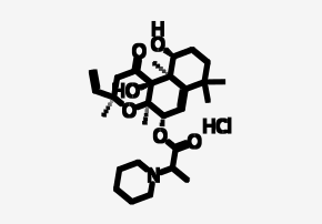 C=C[C@@]1(C)CC(=O)[C@@]2(O)[C@](C)(O1)[C@@H](OC(=O)C(C)N1CCCCC1)C=C1C(C)(C)CC[C@H](O)[C@@]12C.Cl